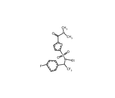 CCN(C(c1ccc(F)cc1)C(F)(F)F)S(=O)(=O)c1ccc(C(=O)N(C)C)s1